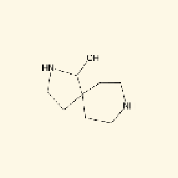 OC1NCCC12CCNCC2